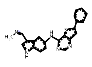 C/N=C\c1c[nH]c2ccc(Nc3ncnc4cc(-c5ccccc5)sc34)cc12